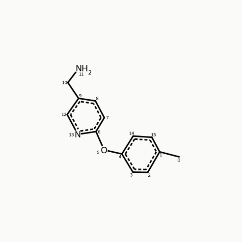 Cc1ccc(Oc2ccc(CN)cn2)cc1